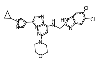 Clc1cc2nc(CNc3cc(N4CCOCC4)nn4c(-c5cnn(C6CC6)c5)cnc34)[nH]c2cc1Cl